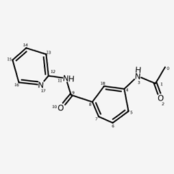 CC(=O)Nc1cccc(C(=O)Nc2ccccn2)c1